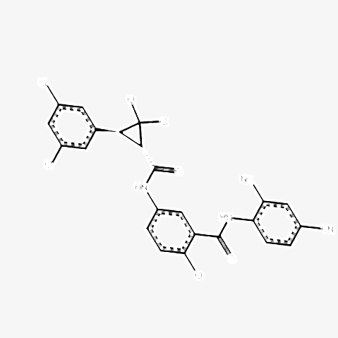 N#Cc1ccc(NC(=O)c2cc(NC(=O)[C@@H]3[C@@H](c4cc(Cl)cc(Cl)c4)C3(Cl)Cl)ccc2Cl)c(C#N)c1